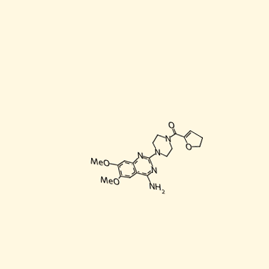 COc1cc2nc(N3CCN(C(=O)C4=CCCO4)CC3)nc(N)c2cc1OC